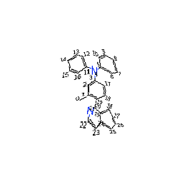 Cc1cc(N(c2ccccc2)c2ccccc2)ccc1-c1nccc2ccccc12